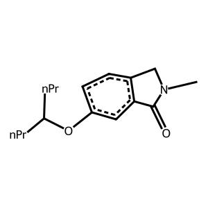 CCCC(CCC)Oc1ccc2c(c1)C(=O)N(C)C2